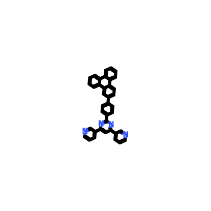 c1cncc(-c2cc(-c3cccnc3)nc(-c3ccc(-c4ccc5c6ccccc6c6ccccc6c5c4)cc3)n2)c1